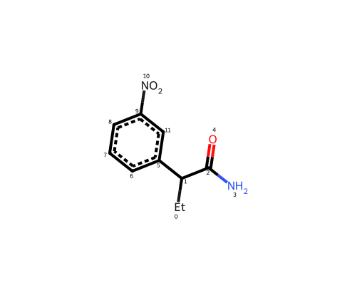 CCC(C(N)=O)c1cccc([N+](=O)[O-])c1